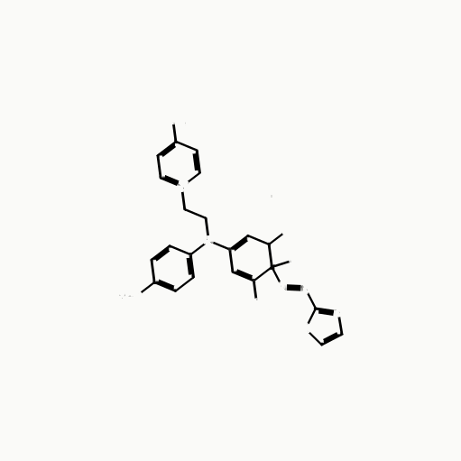 CCOC(=O)C1=CC(N(CC[n+]2ccc(C)cc2)c2ccc(OC)cc2)=CC(C)C1(C)N=Nc1nccs1.Cl.[Cl-]